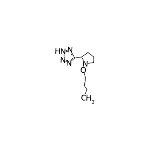 CCCCON1CCCC1c1nn[nH]n1